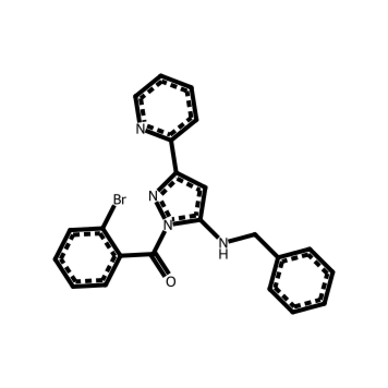 O=C(c1ccccc1Br)n1nc(-c2ccccn2)cc1NCc1ccccc1